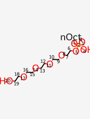 CCCCCCCCOP(=O)(O)OCCOCCOCCOCCOCCO